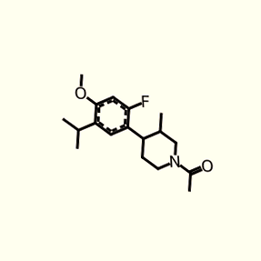 COc1cc(F)c(C2CCN(C(C)=O)CC2C)cc1C(C)C